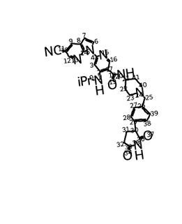 CC(C)Nc1cc(-n2ccc3cc(C#N)cnc32)ncc1C(=O)NC1CCN(Cc2ccc(C3CCC(=O)NC3=O)cc2)CC1